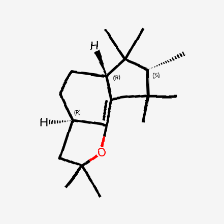 C[C@@H]1C(C)(C)C2=C3OC(C)(C)C[C@H]3CC[C@@H]2C1(C)C